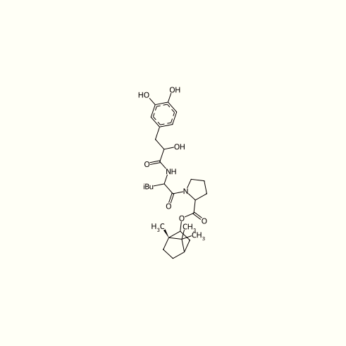 CCC(C)C(NC(=O)C(O)Cc1ccc(O)c(O)c1)C(=O)N1CCCC1C(=O)OC1CC2CC[C@@]1(C)C2(C)C